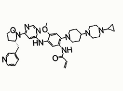 C=CC(=O)Nc1cc(Nc2cc(N3OCC[C@H]3Cc3cccnc3)ncn2)c(OC)cc1N1CCC(N2CCN(C3CC3)CC2)CC1